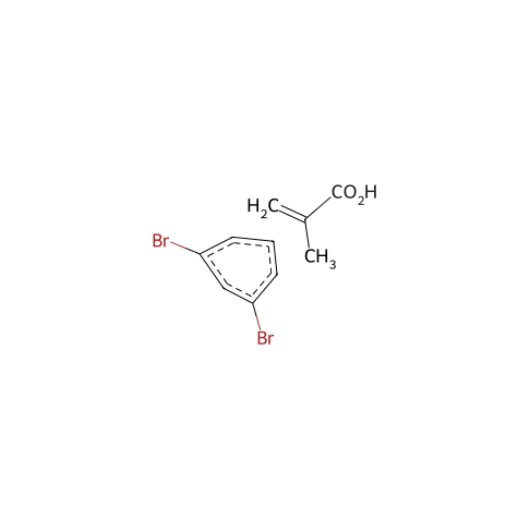 Brc1cccc(Br)c1.C=C(C)C(=O)O